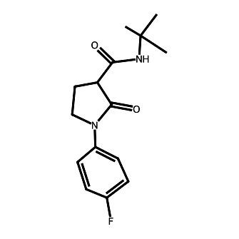 CC(C)(C)NC(=O)C1CCN(c2ccc(F)cc2)C1=O